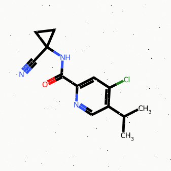 CC(C)c1cnc(C(=O)NC2(C#N)CC2)cc1Cl